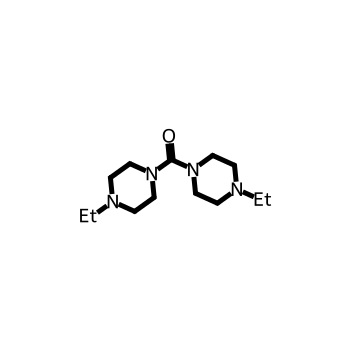 CCN1CCN(C(=O)N2CCN(CC)CC2)CC1